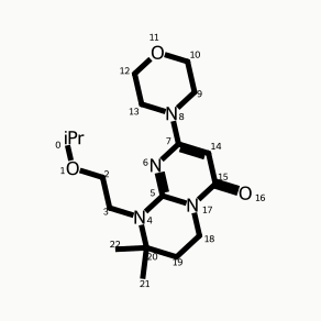 CC(C)OCCN1c2nc(N3CCOCC3)cc(=O)n2CCC1(C)C